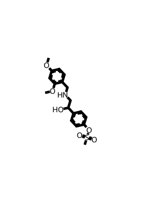 COc1ccc(CNCC(O)c2ccc(OS(C)(=O)=O)cc2)c(OC)c1